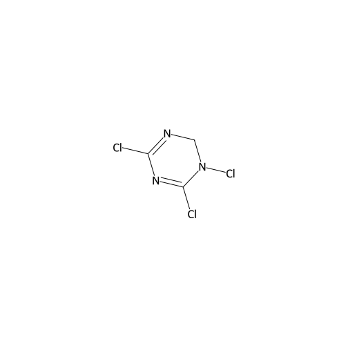 ClC1=NCN(Cl)C(Cl)=N1